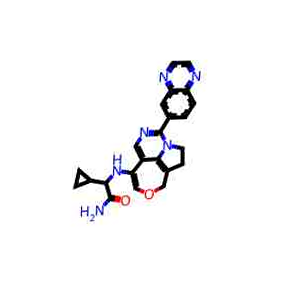 NC(=O)C(NC1=COCC2=C3C1=CN=C(c1ccc4nccnc4c1)N3CC2)C1CC1